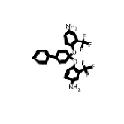 Nc1ccc(OC2(Oc3ccc(N)cc3C(F)(F)F)C=CC(c3ccccc3)C=C2)c(C(F)(F)F)c1